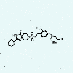 Cc1cc(CN(CCO)OC(C)(C)C)ccc1CCS(=O)(=O)N1CCC2(CC1)N=C(C1CCCCC1)NC2=O